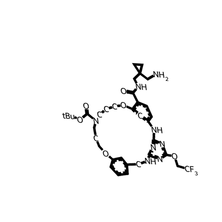 CC(C)(C)OC(=O)N1CCCOc2cccc(c2)CNc2nc(nc(OCC(F)(F)F)n2)Nc2ccc(C(=O)NCC3(CN)CC3)c(c2)OCCC1